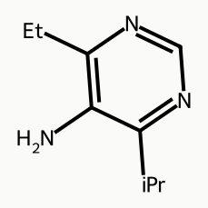 CCc1ncnc(C(C)C)c1N